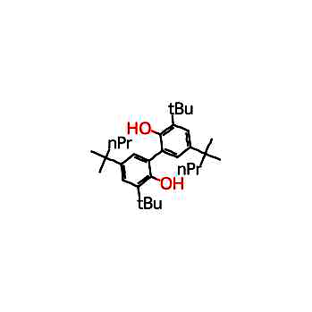 CCCC(C)(C)c1cc(-c2cc(C(C)(C)CCC)cc(C(C)(C)C)c2O)c(O)c(C(C)(C)C)c1